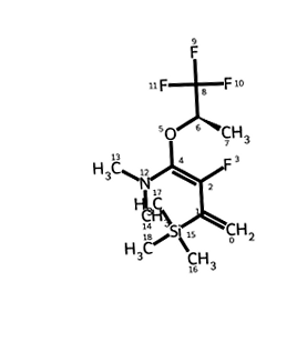 C=C(/C(F)=C(/O[C@H](C)C(F)(F)F)N(C)C)[Si](C)(C)C